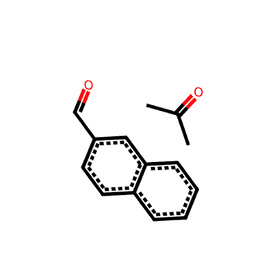 CC(C)=O.O=Cc1ccc2ccccc2c1